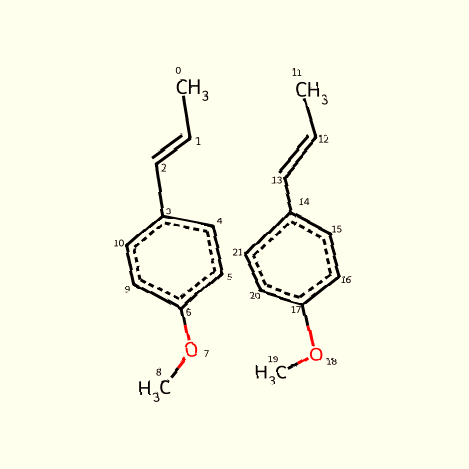 CC=Cc1ccc(OC)cc1.CC=Cc1ccc(OC)cc1